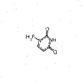 O=c1ccn(P)c(=O)[nH]1